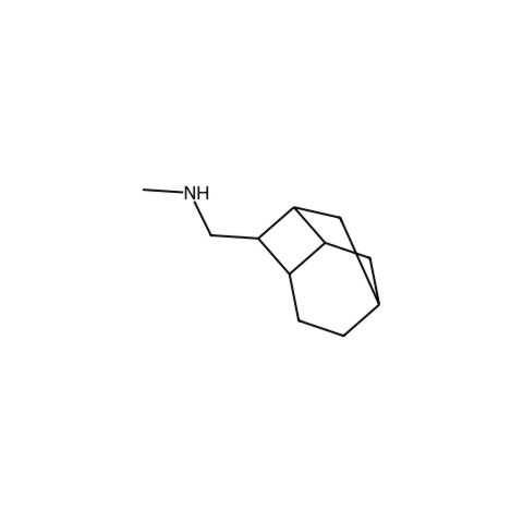 CNCC1C2CCC3CC2C1C3